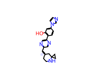 Oc1cc(-n2ccnc2)ccc1-c1cnc(/C=C2/CCNC3(CC3)C2)cn1